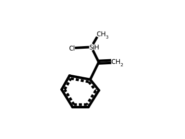 C=C(c1ccccc1)[SiH](C)Cl